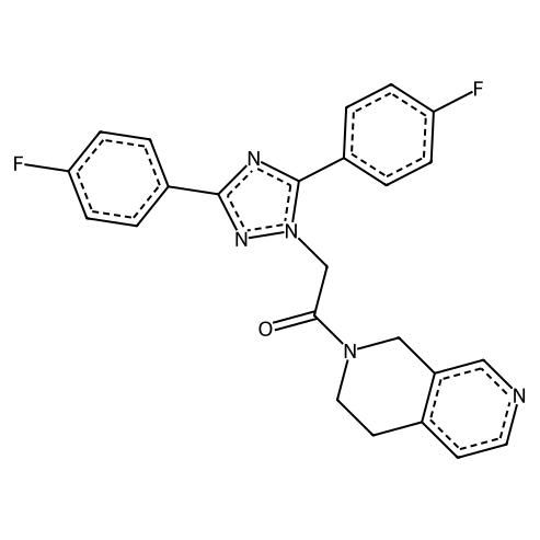 O=C(Cn1nc(-c2ccc(F)cc2)nc1-c1ccc(F)cc1)N1CCc2ccncc2C1